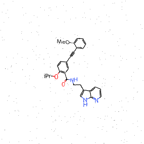 COc1ccccc1C#Cc1ccc(OC(C)C)c(C(=O)NCCc2c[nH]c3ncccc23)c1